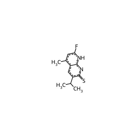 Cc1cc(F)[nH]c2nc(=S)c(C(C)C)cc1-2